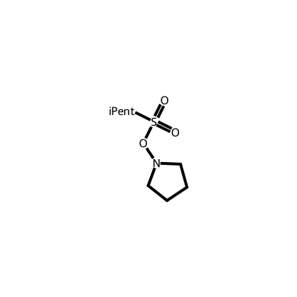 CCCC(C)S(=O)(=O)ON1CCCC1